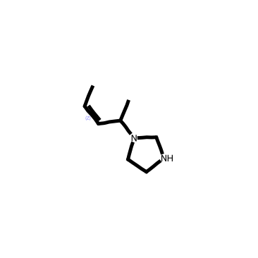 C/C=C\C(C)N1CCNC1